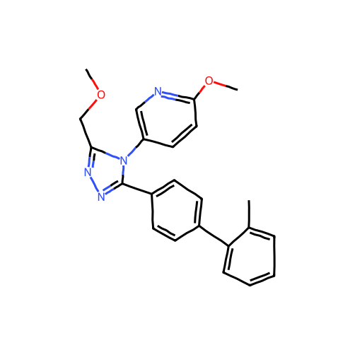 COCc1nnc(-c2ccc(-c3ccccc3C)cc2)n1-c1ccc(OC)nc1